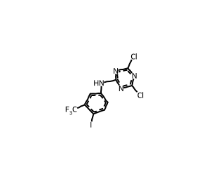 FC(F)(F)c1cc(Nc2nc(Cl)nc(Cl)n2)ccc1I